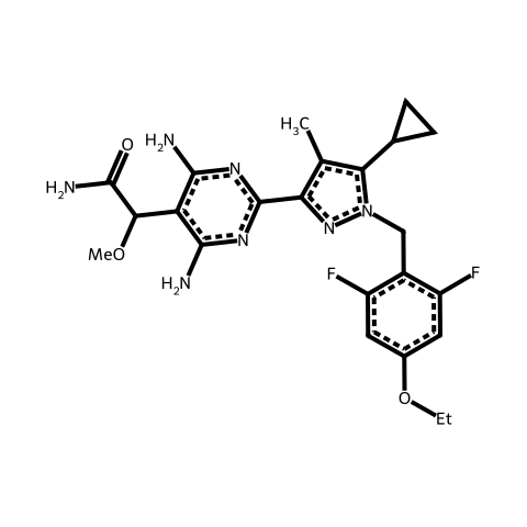 CCOc1cc(F)c(Cn2nc(-c3nc(N)c(C(OC)C(N)=O)c(N)n3)c(C)c2C2CC2)c(F)c1